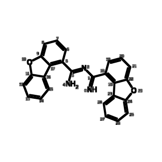 N=C(/N=C(\N)c1cccc2oc3ccccc3c12)c1cccc2oc3ccccc3c12